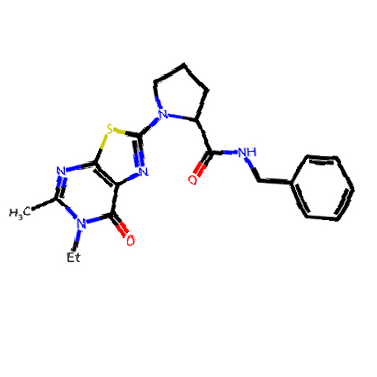 CCn1c(C)nc2sc(N3CCCC3C(=O)NCc3ccccc3)nc2c1=O